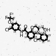 O=C(Nc1ccc(OC(F)(F)F)c(Cl)c1)c1cccc2c1OC[C@H](CO)N2c1ncccc1Cl